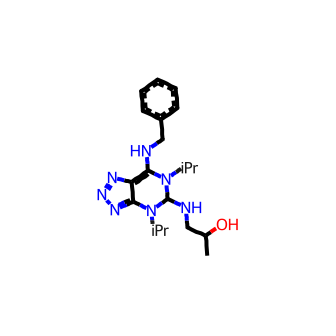 CC(O)CNC1N(C(C)C)C2=NN=NC2=C(NCc2ccccc2)N1C(C)C